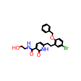 O=C(NCCO)c1ccc(CCc2cc(Br)ccc2OCc2ccccc2)[nH]c1=O